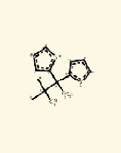 CC(C)(C#N)C(C(=O)O)(c1cccs1)c1cccs1